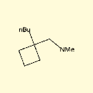 CCCCC1(CNC)CCC1